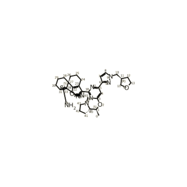 C[C@H](Oc1cc(-c2ccn(C[C@H]3CCOC3)n2)nc(-c2noc3c2CCC[C@@]32CCCc3sc(N)c(C#N)c32)n1)[C@@H]1CCCN1C